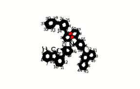 CC1(C)c2ccccc2-c2cccc(-c3ccc(N(c4ccc(-c5cccc(-c6ccccc6)c5)cc4)c4cc(-c5cc6ccccc6c6ccccc56)ccc4-c4ccccc4)cc3)c21